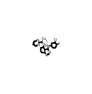 C[C@H](Oc1cccc2ncnc(Nc3ccc(F)c(Cl)c3)c12)c1ncccn1